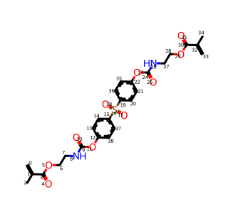 C=C(C)C(=O)OCCNC(=O)Oc1ccc(S(=O)(=O)c2ccc(OC(=O)NCCOC(=O)C(=C)C)cc2)cc1